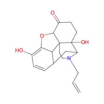 C=CCN1CCC23C4OC5=C(O)C=CC(CC1C2(O)CCC4=O)C53